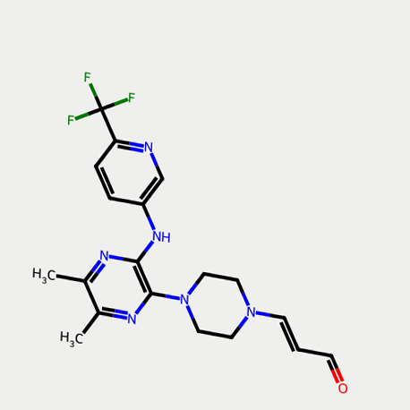 Cc1nc(Nc2ccc(C(F)(F)F)nc2)c(N2CCN(C=CC=O)CC2)nc1C